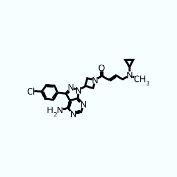 CN(C/C=C/C(=O)N1CC(n2nc(-c3ccc(Cl)cc3)c3c(N)ncnc32)C1)C1CC1